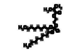 C=C(C)C(=O)OCCOP(=O)(OCCCCCCCC)OCCCCCCCC